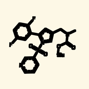 CN(Cc1cc(-c2cc(F)ccc2F)n(S(=O)(=O)c2cccnc2)c1)C(=O)OC(C)(C)C